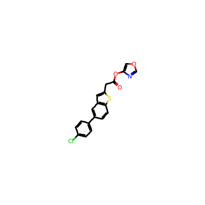 O=C(Cc1cc2cc(-c3ccc(Cl)cc3)ccc2s1)Oc1cocn1